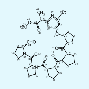 CCc1cc(ON2CCC[C@H]2C(=O)N2CCC[C@H]2C(=O)N2CCC[C@H]2C(=O)N2CCC[C@H]2C(=O)N2CCC[C@H]2C=O)cc(N(C)C(=O)OC(C)(C)C)n1